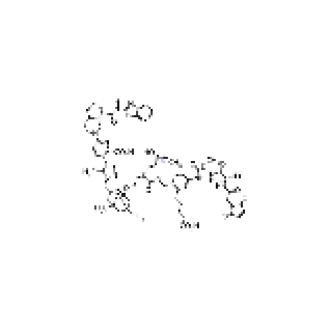 C/C=S(/O)CCN(CCOC12CC3(C)CC(C)(CC(Cn4ncc(-c5ccc(N6CCc7cccc(C(=O)Nc8nc9ccccc9s8)c7C6)nc5C(=O)O)c4C)(C3)C1)C2)C(=O)OCc1ccc(NC(=O)[C@H](C)NC(=O)[C@@H](NC(=O)CN2C(=O)C=CC2=O)C(C)C)cc1CCCCC(=O)O